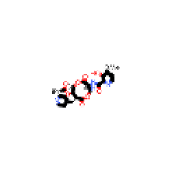 COc1ccnc(C(=O)N[C@H]2COC(=O)[C@H](Cc3ccncc3)[C@@H](OC(=O)C(C)C)[C@H](C)OC2=O)c1O